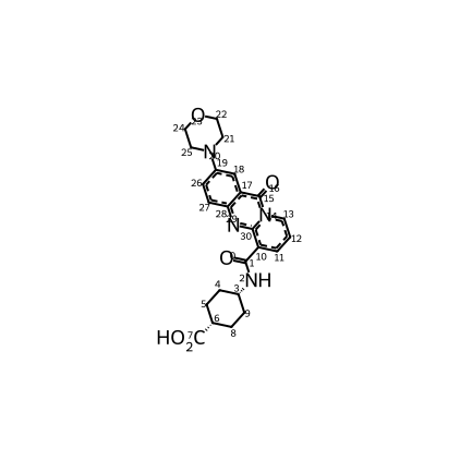 O=C(N[C@H]1CC[C@@H](C(=O)O)CC1)c1cccn2c(=O)c3cc(N4CCOCC4)ccc3nc12